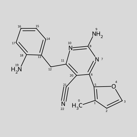 Cc1ccoc1-c1nc(N)nc(Cc2ccccc2N)c1C#N